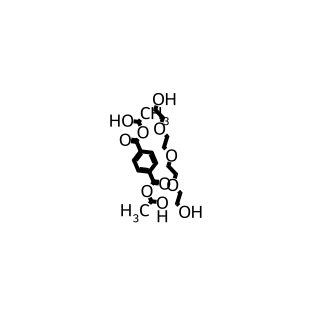 CC(O)OC(=O)c1ccc(C(=O)OC(C)O)cc1.OCCOCCOCCOCCO